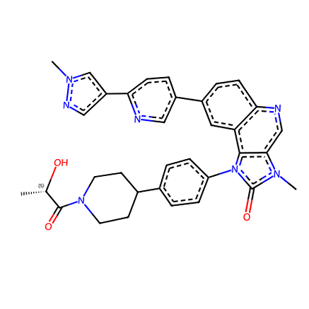 C[C@H](O)C(=O)N1CCC(c2ccc(-n3c(=O)n(C)c4cnc5ccc(-c6ccc(-c7cnn(C)c7)nc6)cc5c43)cc2)CC1